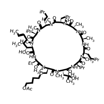 C/C=C/C[C@@H](C)[C@@H](O)[C@H]1C(=O)N[C@H](CC)C(=O)N(C)[C@H](COCCCCOC(C)=O)C(=O)N(C)[C@@H](CC(C)(C)O)C(=O)N[C@H](C(C)C)C(=O)N(C)[C@H](CCC(C)C)C(=O)N[C@H](C)C(=O)N[C@@H](C)C(=O)N(C)[C@@H](CC(C)C)C(=O)N(C)[C@@H](CCC(C)C)C(=O)N(C)[C@H](C(C)C)C(=O)N1C